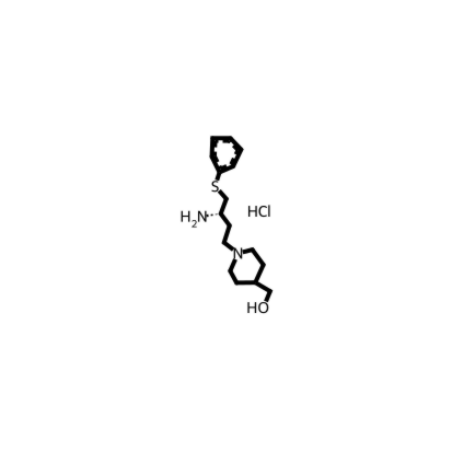 Cl.N[C@@H](CCN1CCC(CO)CC1)CSc1ccccc1